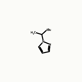 CC(n1cccn1)C(C)(C)C